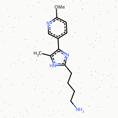 COc1ccc(-c2nc(CCCCN)[nH]c2C)cn1